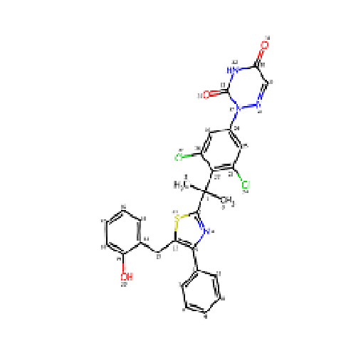 CC(C)(c1nc(-c2ccccc2)c(Cc2ccccc2O)s1)c1c(Cl)cc(-n2ncc(=O)[nH]c2=O)cc1Cl